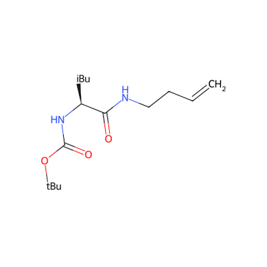 C=CCCNC(=O)[C@@H](NC(=O)OC(C)(C)C)C(C)CC